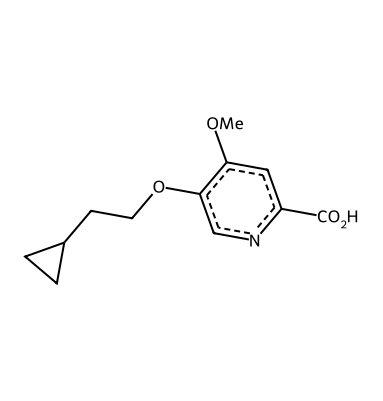 COc1cc(C(=O)O)ncc1OCCC1CC1